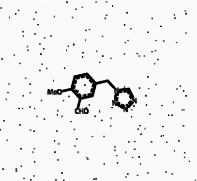 COc1ccc(Cn2cnnn2)cc1C=O